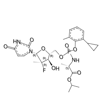 Cc1cccc(C2CC2)c1OP(=O)(N[C@@H](C)C(=O)OC(C)C)OC[C@H]1O[C@@H](n2ccc(=O)[nH]c2=O)[C@](C)(F)[C@@H]1O